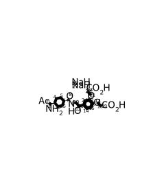 CC(=O)C(N)[C@H]1CC[C@H](C(=O)NCC(=O)c2ccc(OCC(=O)O)c(OCC(=O)O)c2)CC1.[NaH].[NaH]